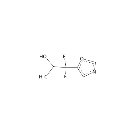 CC(O)C(F)(F)c1cnco1